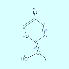 C=C(/C=C\C(O)=C(/C)O)CC